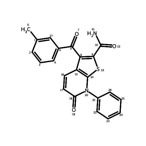 Cc1cccc(C(=O)c2c(C(N)=O)sc3c2ccc(=O)n3-c2ccccc2)c1